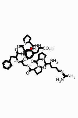 NC(N)=NCCCC(N)C(=O)N1CCCC1C(=O)N1CCCC1C(=O)NCC(=O)NC(Cc1ccccc1)C(=O)NC(CO)C(=O)N1CCCC1C(=O)NC(Cc1ccccc1)C(=O)O